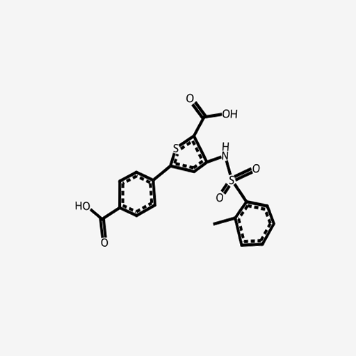 Cc1ccccc1S(=O)(=O)Nc1cc(-c2ccc(C(=O)O)cc2)sc1C(=O)O